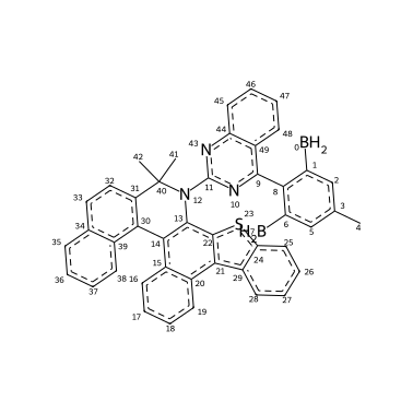 Bc1cc(C)cc(B)c1-c1nc(N2c3c(c4ccccc4c4c3sc3ccccc34)-c3c(ccc4ccccc34)C2(C)C)nc2ccccc12